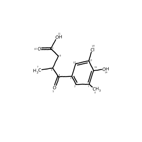 Cc1cc(C(=O)C(C)CC(=O)O)cc(Cl)c1O